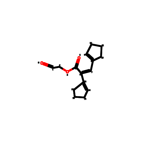 O=CCOC(=O)C(=CC1=CCCC1)C1=CCCC1